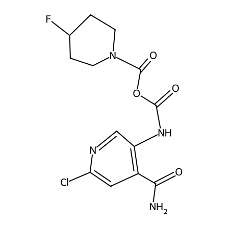 NC(=O)c1cc(Cl)ncc1NC(=O)OC(=O)N1CCC(F)CC1